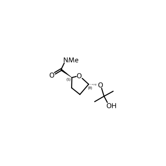 CNC(=O)[C@@H]1CC[C@@H](OC(C)(C)O)O1